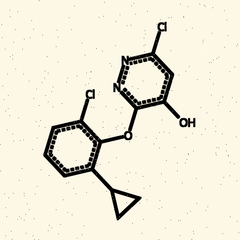 Oc1cc(Cl)nnc1Oc1c(Cl)cccc1C1CC1